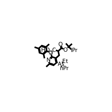 CCC[As](CC)c1cc(C)nc(Oc2c(C)cc(C)cc2C)c1CC(C(=O)O)C(=O)OC(C)(C)C(C)C